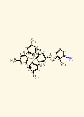 Cc1cc[c]([Al-]([c]2ccc(C)cc2C)([c]2ccc(C)cc2C)[c]2ccc(C)cc2C)c(C)c1.Cc1cccc([NH3+])c1C